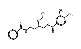 CCOC(CCNC(=O)c1ccccc1)CNC(=O)c1ccc(C)c(C)c1